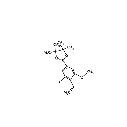 C=Cc1c(F)cc(B2OC(C)(C)C(C)(C)O2)cc1OC